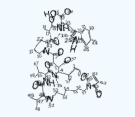 CCC(C)C(C(CC(=O)N1CCC[C@H]1C(OC)C(C)C(=O)NC(Cc1c[nH]c2ccccc12)C(=O)O)OC)N(C)C(=O)C(NC(=O)C(C(C)C)N(C)CCCCCCN1C(=O)C=CC1=O)C(C)C